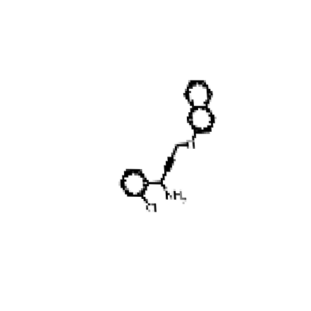 NC(C#CCOc1ccc2ccccc2c1)c1ccccc1Cl